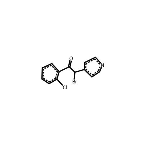 O=C(c1ccccc1Cl)C(Br)c1ccncc1